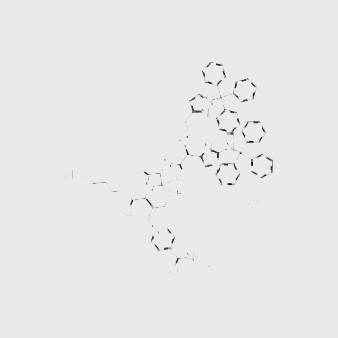 CCCCOC(=O)C1=C(C[n+]2ccc(C(N)=O)cc2)C[S+]([O-])[C@H]2[C@H](NC(=O)C(=NOCc3ccn(C(c4ccccc4)(c4ccccc4)c4ccccc4)n3)c3csc(NC(c4ccccc4)(c4ccccc4)c4ccccc4)n3)C(=O)N12.[Br-]